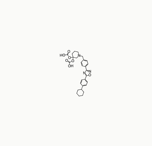 O=C(O)OC1(OC(=O)O)CCCN(Cc2ccc(-c3noc(-c4ccc(C5CCCCC5)cc4)n3)cc2)C1